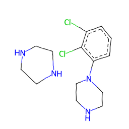 C1CNCCN1.Clc1cccc(N2CCNCC2)c1Cl